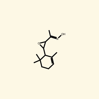 CC1=CCCC(C)(C)C1C1OC1C(C)=NO